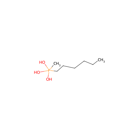 CCCCCCP(C)(O)(O)O